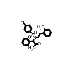 Cc1ccccc1CCN(C(C(N)=O)c1ccccc1)S(=O)(=O)c1ccc(Cl)cc1